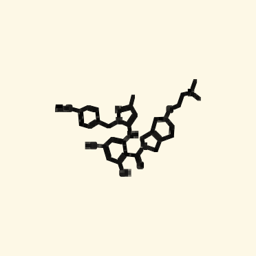 COc1ccc(Cn2nc(C)cc2Nc2cc(O)cc(O)c2C(=O)N2Cc3ccc(OCCN(C)C)cc3C2)cc1